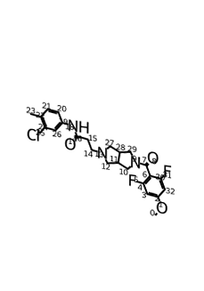 COc1cc(F)c(C(=O)N2CC3CN(CCC(=O)Nc4ccc(C)c(Cl)c4)CC3C2)c(F)c1